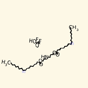 CCCCCCCC/C=C\CCCCCCCC(=O)OCCCNCCCOC(=O)CCCCCCC/C=C\CCCCCCCC.O=C(O)C(F)(F)F